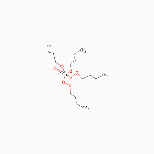 CCCCO[O][Ti](=[O])([O]CCCC)([O]CCCC)[O]OCCCC